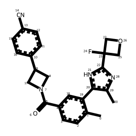 Cc1ccc(C(=O)N2CC(c3ccc(C#N)cc3)C2)cc1-c1[nH]c(C2(F)COC2)nc1C